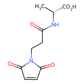 C[C@@H](NC(=O)CCN1C(=O)C=CC1=O)C(=O)O